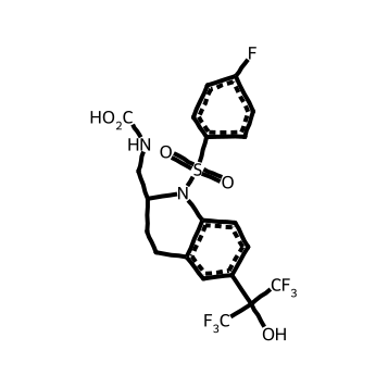 O=C(O)NCC1CCc2cc(C(O)(C(F)(F)F)C(F)(F)F)ccc2N1S(=O)(=O)c1ccc(F)cc1